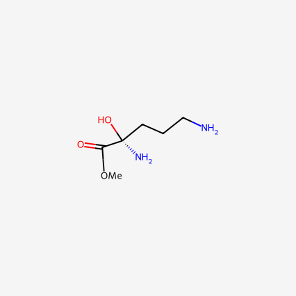 COC(=O)[C@@](N)(O)CCCN